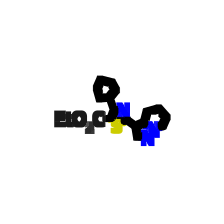 CCOC(=O)c1sc(-c2cnn3ccccc23)nc1-c1ccccc1